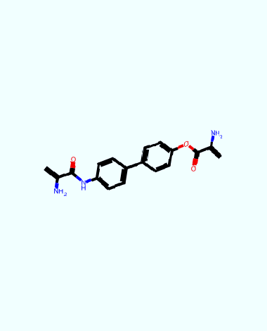 C=C(N)C(=O)Nc1ccc(-c2ccc(OC(=O)C(=C)N)cc2)cc1